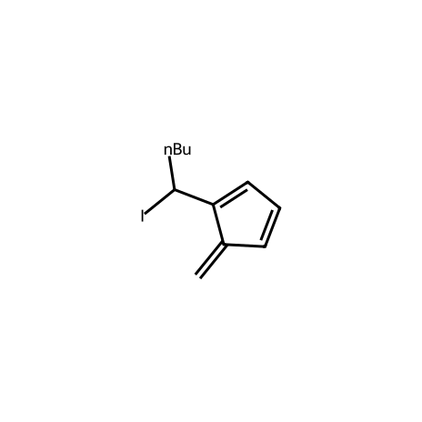 C=C1C=CC=C1C(I)CCCC